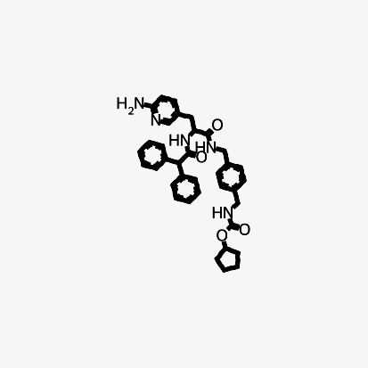 Nc1ccc(CC(NC(=O)C(c2ccccc2)c2ccccc2)C(=O)NCc2ccc(CNC(=O)OC3CCCC3)cc2)cn1